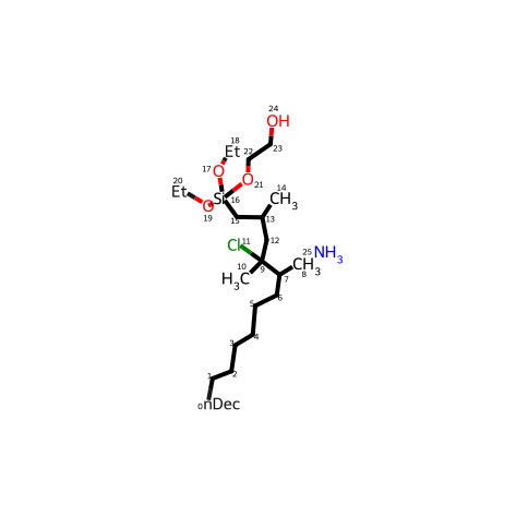 CCCCCCCCCCCCCCCCC(C)C(C)(Cl)CC(C)C[Si](OCC)(OCC)OCCO.N